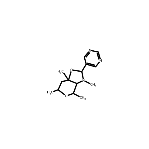 CC1CC2(C)OC(c3cncnc3)N(C)C2C(C)O1